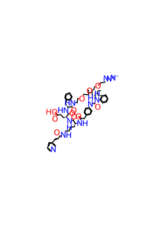 Cc1ccccc1NC(=O)Nc1ccc(CC(=O)N[C@@H](CCCCNC(=O)/C=C/c2cccnc2)C(=O)N[C@@H](CCC(=O)O)C(=O)N[C@@H](Cc2ccccc2)C(=O)NCCOCCOCCOCCN=[N+]=[N-])cc1